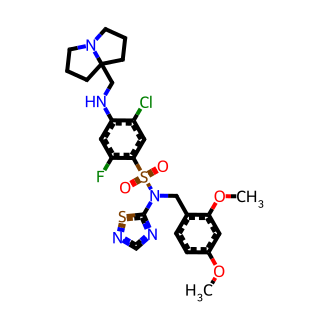 COc1ccc(CN(c2ncns2)S(=O)(=O)c2cc(Cl)c(NCC34CCCN3CCC4)cc2F)c(OC)c1